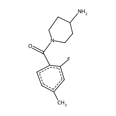 Cc1ccc(C(=O)N2CCC(N)CC2)c(F)c1